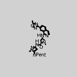 CCCCCc1cc(NC(=O)C2CC(Nc3nccc4ccc(-c5noc(C)n5)cc34)CN2C)nn1C